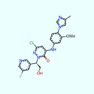 COc1cc(Nc2cc(Cl)nn([C@@H](CO)c3cncc(F)c3)c2=O)ccc1-n1cnc(C)c1